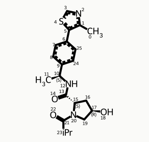 Cc1ncsc1-c1ccc([C@H](C)NC(=O)[C@@H]2C[C@@H](O)CN2C(=O)C(C)C)cc1